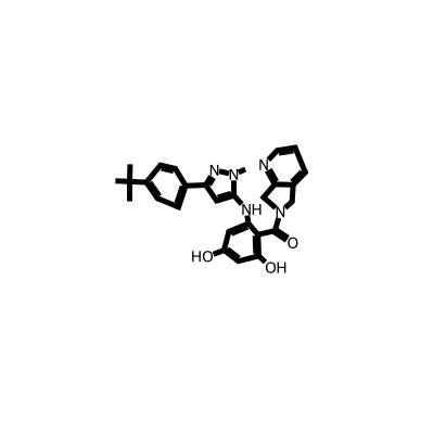 Cn1nc(-c2ccc(C(C)(C)C)cc2)cc1Nc1cc(O)cc(O)c1C(=O)N1Cc2cccnc2C1